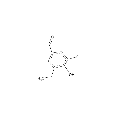 CCc1cc(C=O)cc(Cl)c1O